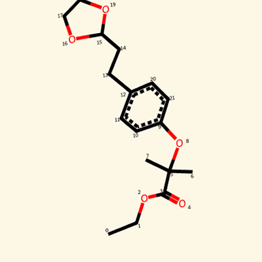 CCOC(=O)C(C)(C)Oc1ccc(CCC2OCCO2)cc1